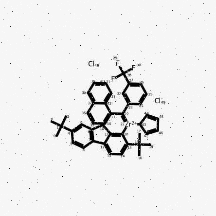 CC(C)(C)c1ccc2c(c1)Cc1c-2ccc(C(C)(C)C)[c]1[Zr+2](=[C](c1cccc(C(F)(F)F)c1)c1cccc2ccccc12)[CH]1C=CC=C1.[Cl-].[Cl-]